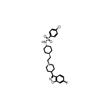 O=S(=O)(N[C@H]1CC[C@H](CCN2CCC(c3noc4cc(F)ccc34)CC2)CC1)c1ccc(Cl)cc1